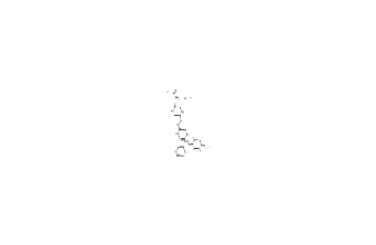 C=C(C)C(O)Oc1ccc(C=Cc2ccc(N(c3ccc(C)cc3)c3ccc(C)cc3)cc2)cc1